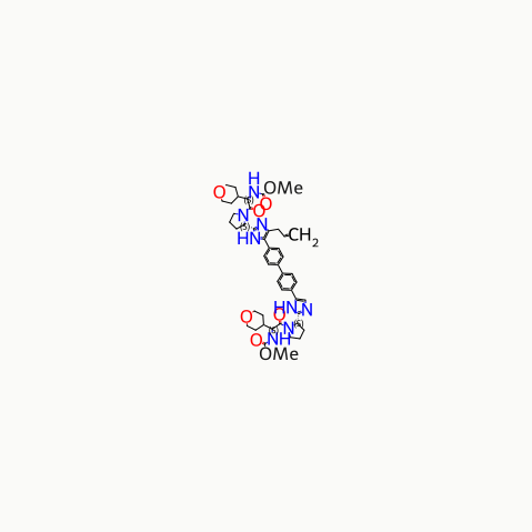 C=CCc1nc([C@@H]2CCCN2C(=O)[C@@H](NC(=O)OC)C2CCOCC2)[nH]c1-c1ccc(-c2ccc(-c3cnc([C@@H]4CCCN4C(=O)[C@@H](NC(=O)OC)C4CCOCC4)[nH]3)cc2)cc1